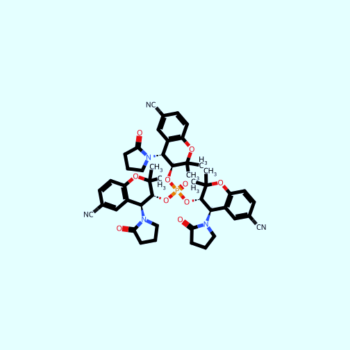 CC1(C)Oc2ccc(C#N)cc2[C@H](N2CCCC2=O)[C@H]1OP(=O)(O[C@H]1[C@H](N2CCCC2=O)c2cc(C#N)ccc2OC1(C)C)O[C@H]1[C@H](N2CCCC2=O)c2cc(C#N)ccc2OC1(C)C